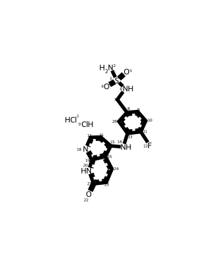 Cl.Cl.NS(=O)(=O)NCc1ccc(F)c(Nc2ccnc3[nH]c(=O)ccc23)c1